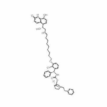 O=C(NC(c1ccccc1)c1cccc(OCCCCCCCCCNC[C@H](O)c2ccc(O)c3[nH]c(=O)ccc23)c1Cl)O[C@H]1C[N+]2(CCc3ccccc3)CCC1CC2